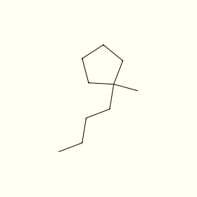 CCCCC1(C)CCCC1